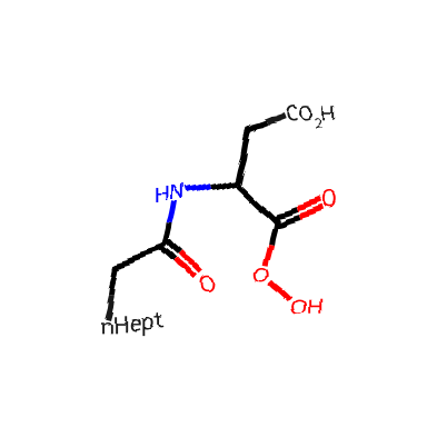 CCCCCCCCC(=O)NC(CC(=O)O)C(=O)OO